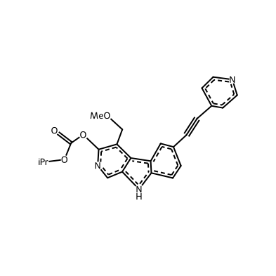 COCc1c(OC(=O)OC(C)C)ncc2[nH]c3ccc(C#Cc4ccncc4)cc3c12